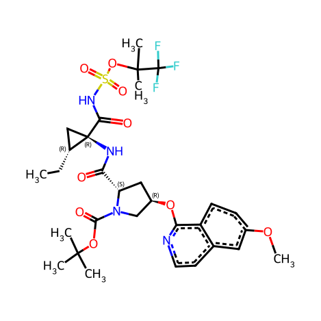 CC[C@@H]1C[C@]1(NC(=O)[C@@H]1C[C@@H](Oc2nccc3cc(OC)ccc23)CN1C(=O)OC(C)(C)C)C(=O)NS(=O)(=O)OC(C)(C)C(F)(F)F